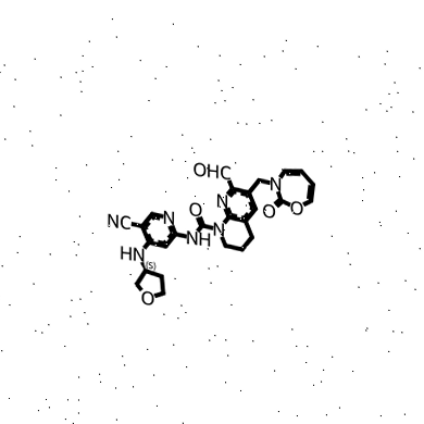 N#Cc1cnc(NC(=O)N2CCCc3cc(CN4C=CC=COC4=O)c(C=O)nc32)cc1N[C@H]1CCOC1